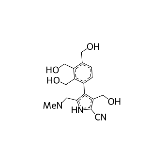 CNCc1[nH]c(C#N)c(CO)c1-c1ccc(CO)c(CO)c1CO